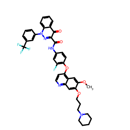 COc1cc2c(Oc3ccc(NC(=O)c4nn(-c5cccc(C(F)(F)F)c5)c5ccccc5c4=O)cc3F)ccnc2cc1OCCCN1CCCCC1